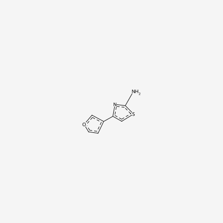 Nc1nc(-c2ccoc2)cs1